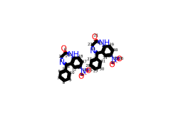 O=C1CN=C(c2ccccc2)c2cc([N+](=O)[O-])ccc2N1.O=C1CN=C(c2ccccc2)c2cc([N+](=O)[O-])ccc2N1